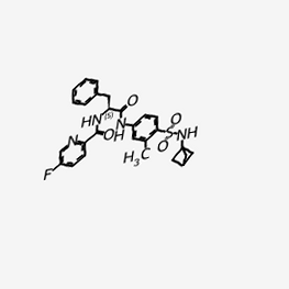 Cc1cc(NC(=O)[C@H](Cc2ccccc2)NC(=O)c2ccc(F)cn2)ccc1S(=O)(=O)NC12CC(C1)C2